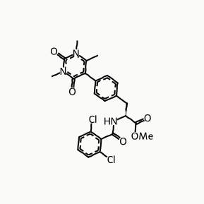 COC(=O)[C@H](Cc1ccc(-c2c(C)n(C)c(=O)n(C)c2=O)cc1)NC(=O)c1c(Cl)cccc1Cl